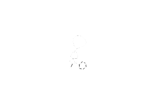 Cl.O=C1CC2(CCN(C3CCCCCCCCC3)CC2)N1c1ccccc1